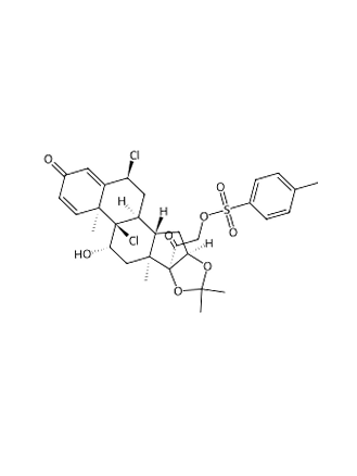 Cc1ccc(S(=O)(=O)OCC(=O)[C@@]23OC(C)(C)O[C@@H]2C[C@H]2[C@@H]4C[C@H](Cl)C5=CC(=O)C=C[C@]5(C)[C@@]4(Cl)[C@@H](O)C[C@@]23C)cc1